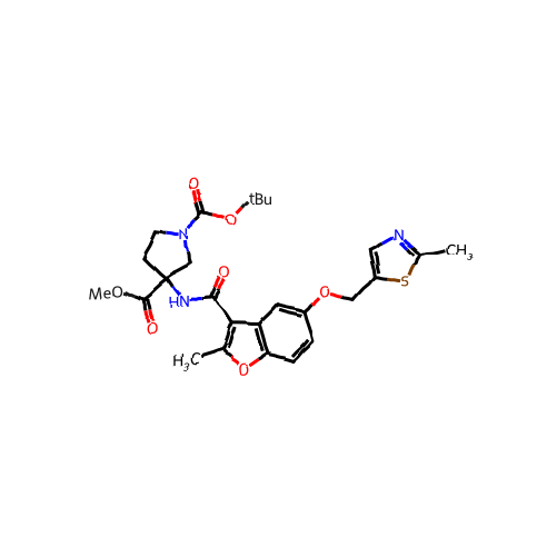 COC(=O)C1(NC(=O)c2c(C)oc3ccc(OCc4cnc(C)s4)cc23)CCN(C(=O)OC(C)(C)C)C1